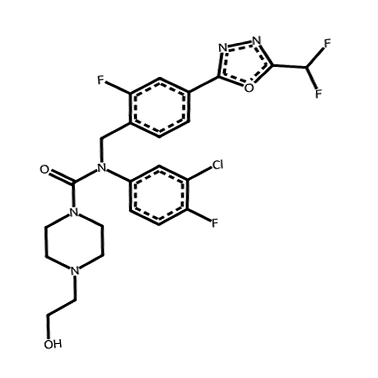 O=C(N1CCN(CCO)CC1)N(Cc1ccc(-c2nnc(C(F)F)o2)cc1F)c1ccc(F)c(Cl)c1